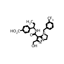 C=CC(NC(=O)c1c(CO)nn2c1N(Cc1cccc(C(F)(F)F)c1)CC2)c1ccc(C(=O)O)cc1